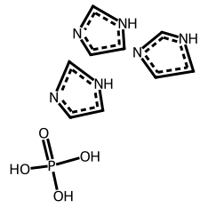 O=P(O)(O)O.c1c[nH]cn1.c1c[nH]cn1.c1c[nH]cn1